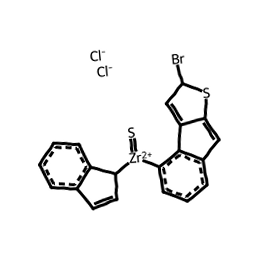 [Cl-].[Cl-].[S]=[Zr+2]([c]1cccc2c1C1=CC(Br)SC1=C2)[CH]1C=Cc2ccccc21